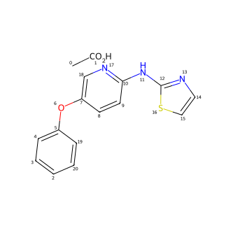 CC(=O)O.c1ccc(Oc2ccc(Nc3nccs3)nc2)cc1